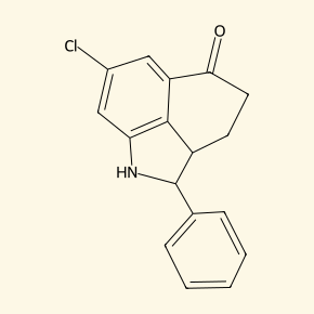 O=C1CCC2c3c(cc(Cl)cc31)NC2c1ccccc1